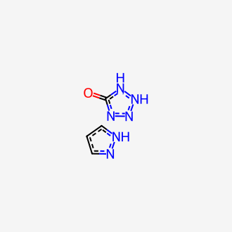 O=c1nn[nH][nH]1.c1cn[nH]c1